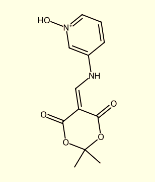 CC1(C)OC(=O)C(=CNc2ccc[n+](O)c2)C(=O)O1